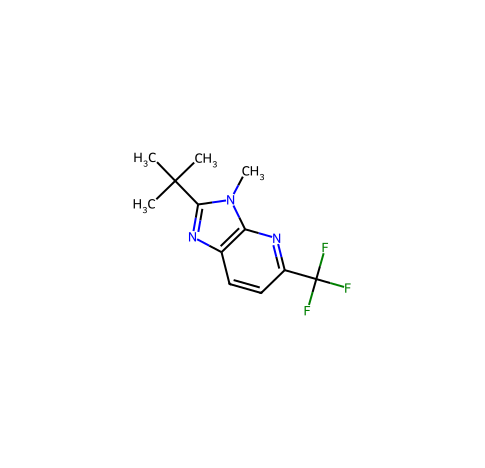 Cn1c(C(C)(C)C)nc2ccc(C(F)(F)F)nc21